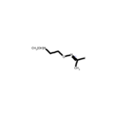 C/C(I)=N\OCCN(C)O